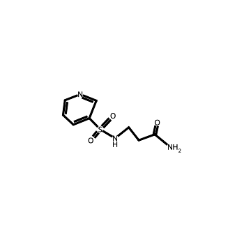 NC(=O)CCNS(=O)(=O)c1cccnc1